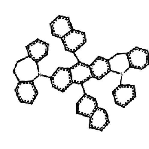 c1ccc(N2c3ccccc3Cc3cc4c(-c5ccc6ccccc6c5)c5cc(N6c7ccccc7CCc7ccccc76)ccc5c(-c5ccc6ccccc6c5)c4cc32)cc1